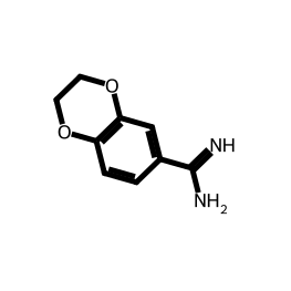 N=C(N)c1ccc2c(c1)OCCO2